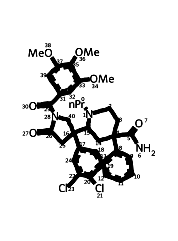 CCCN1CCC(C(N)=O)(c2ccccc2)CC1C1(c2ccc(Cl)c(Cl)c2)CC(=O)N(C(=O)c2cc(OC)c(OC)c(OC)c2)C1